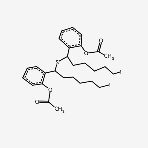 CC(=O)Oc1ccccc1C(CCCCCI)SC(CCCCCI)c1ccccc1OC(C)=O